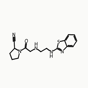 N#CC1CCCN1C(=O)CNCCNc1nc2ccccc2s1